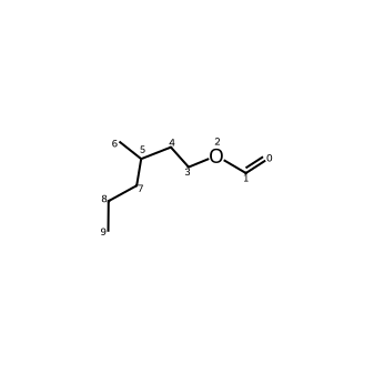 C=COCCC(C)CCC